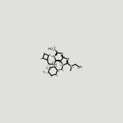 CC(C)CN(C)c1nc2nc(C(=O)O)nc(N[C@H](C)C3CCC3)c2n1C[C@H]1CC[C@H](C)CC1